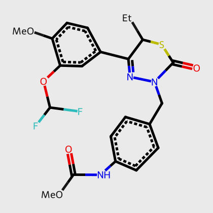 CCC1SC(=O)N(Cc2ccc(NC(=O)OC)cc2)N=C1c1ccc(OC)c(OC(F)F)c1